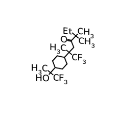 CCC(C)(C)C(=O)CC(C)(C1CCC(C(C)(O)C(F)(F)F)CC1)C(F)(F)F